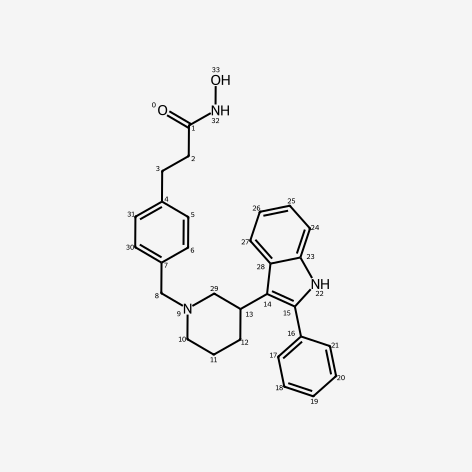 O=C(CCc1ccc(CN2CCCC(c3c(-c4ccccc4)[nH]c4ccccc34)C2)cc1)NO